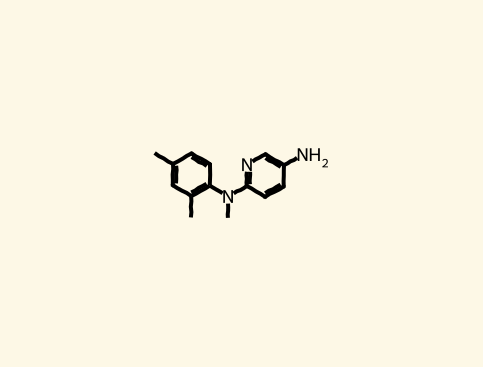 Cc1ccc(N(C)c2ccc(N)cn2)c(C)c1